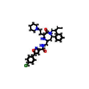 CCC(CN1CCC(CNC(=O)c2cc(-c3ccc(Cl)cc3)on2)NC(CCN2CCCCC2)C1=O)c1ccccc1